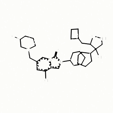 C[C@H]1CCCN(Cc2cc(C(F)(F)F)c3cn(C4CCCC([C@H](C5CCC5)C5ONCC5(C)C5CCCCC5)C4)c(=O)n3c2)C1